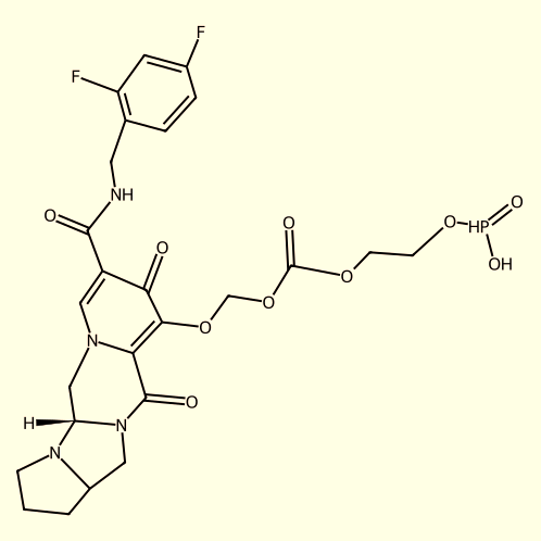 O=C(OCCO[PH](=O)O)OCOc1c2n(cc(C(=O)NCc3ccc(F)cc3F)c1=O)C[C@@H]1N(CC3CCCN31)C2=O